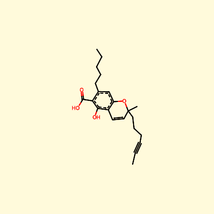 CC#CCCCC1(C)C=Cc2c(cc(CCCCC)c(C(=O)O)c2O)O1